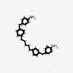 Nc1ccc(Cc2ccc(CCCCCc3ccc(Cc4ccc(N)cc4)cc3)cc2)cc1